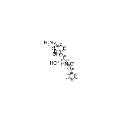 Cl.NCC1OB(O)c2c(OCCCNC(=O)OCc3ccccc3)cccc21